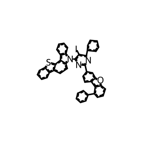 Ic1c(-c2ccccc2)nc(-c2ccc3c(c2)oc2cccc(-c4ccccc4)c23)nc1-n1c2ccccc2c2c3sc4ccccc4c3ccc21